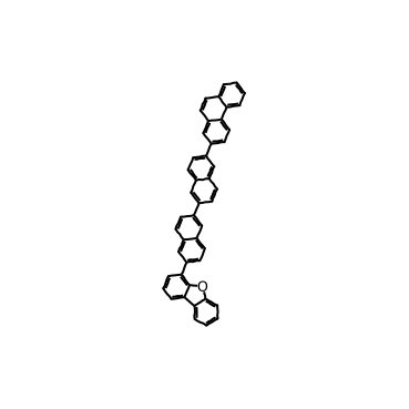 c1ccc2c(c1)ccc1cc(-c3ccc4cc(-c5ccc6cc(-c7cccc8c7oc7ccccc78)ccc6c5)ccc4c3)ccc12